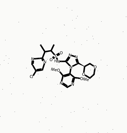 COc1ncnc(OC)c1-n1c(NS(=O)(=O)C(C)C(C)c2ncc(Cl)cn2)nnc1[C@H]1COCCO1